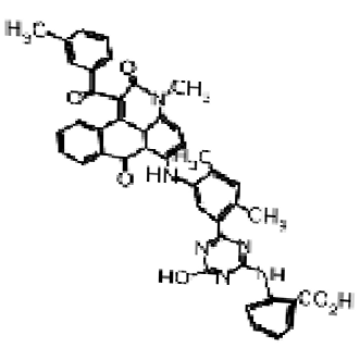 Cc1cccc(C(=O)C2=C3c4ccccc4C(=O)C4C(Nc5cc(-c6nc(O)nc(Nc7ccccc7C(=O)O)n6)c(C)cc5C)=CC=C(C34)N(C)C2=O)c1